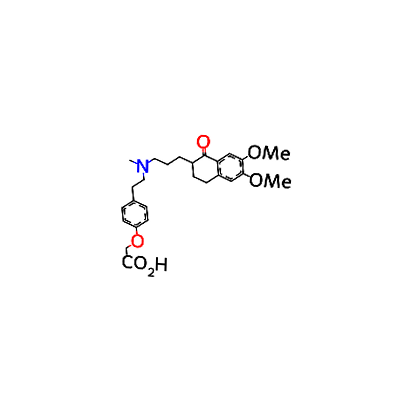 COc1cc2c(cc1OC)C(=O)C(CCCN(C)CCc1ccc(OCC(=O)O)cc1)CC2